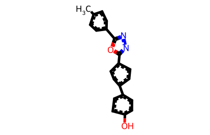 Cc1ccc(-c2nnc(-c3ccc(-c4ccc(O)cc4)cc3)o2)cc1